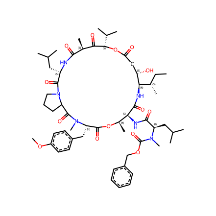 CC[C@H](C)[C@H]1NC(=O)[C@@H](NC(=O)[C@@H](CC(C)C)N(C)C(=O)OCc2ccccc2)[C@@H](C)OC(=O)[C@H](Cc2ccc(OC)cc2)N(C)C(=O)C2CCCN2C(=O)[C@H](CC(C)C)NC(=O)[C@@H](C)C(=O)[C@H](C(C)C)OC(=O)C[C@@H]1O